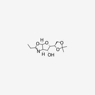 CCC1=N[C@H]2[C@@H](O1)O[C@H]([C@H]1COC(C)(C)O1)[C@@H]2O